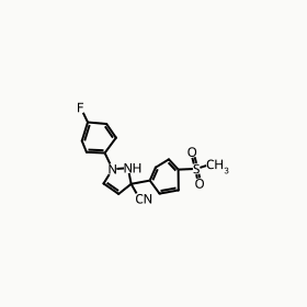 CS(=O)(=O)c1ccc(C2(C#N)C=CN(c3ccc(F)cc3)N2)cc1